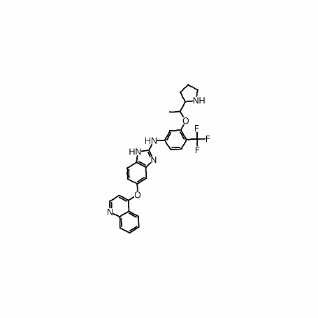 CC(Oc1cc(Nc2nc3cc(Oc4ccnc5ccccc45)ccc3[nH]2)ccc1C(F)(F)F)C1CCCN1